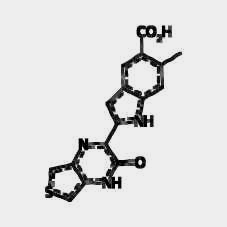 Cc1cc2[nH]c(-c3nc4cscc4[nH]c3=O)cc2cc1C(=O)O